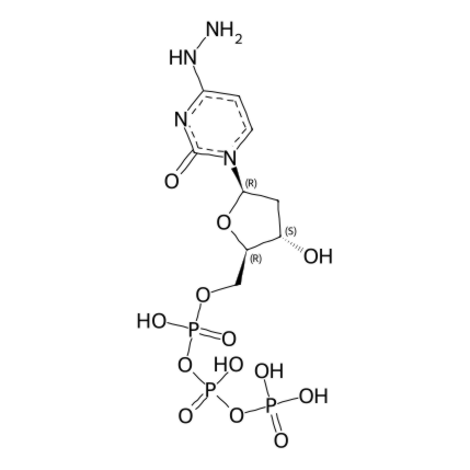 NNc1ccn([C@H]2C[C@H](O)[C@@H](COP(=O)(O)OP(=O)(O)OP(=O)(O)O)O2)c(=O)n1